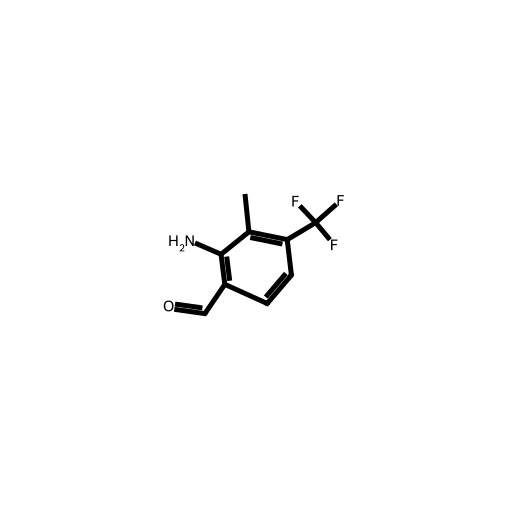 Cc1c(C(F)(F)F)ccc(C=O)c1N